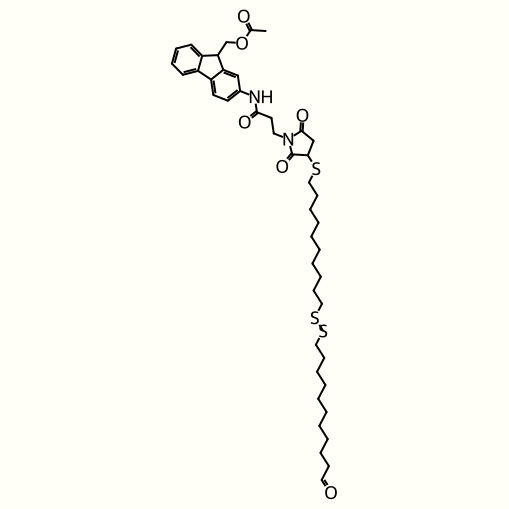 CC(=O)OCC1c2ccccc2-c2ccc(NC(=O)CCN3C(=O)CC(SCCCCCCCCCCSSCCCCCCCCCCC=O)C3=O)cc21